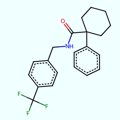 O=C(NCc1ccc(C(F)(F)F)cc1)C1(c2ccccc2)CCCCC1